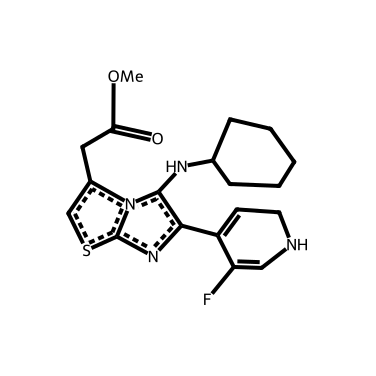 COC(=O)Cc1csc2nc(C3=CCNC=C3F)c(NC3CCCCC3)n12